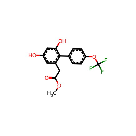 COC(=O)Cc1cc(O)cc(O)c1-c1ccc(OC(F)(F)F)cc1